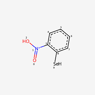 O=[N+](O)c1ccccc1[SeH]